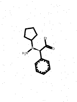 CCC(=O)[C@@H](c1ccccc1)N(N)C1CCCC1